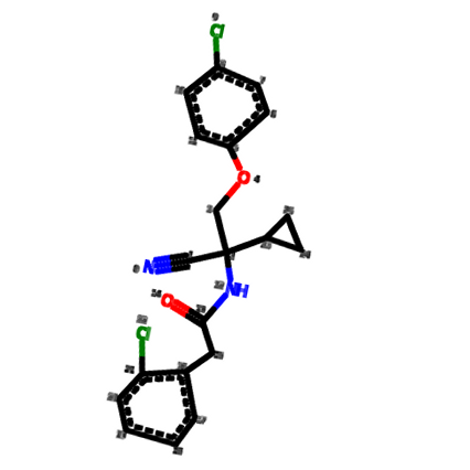 N#CC(COc1ccc(Cl)cc1)(NC(=O)Cc1ccccc1Cl)C1CC1